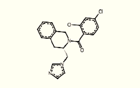 O=C(c1ccc(Cl)cc1Cl)N1Cc2ccccc2C[C@H]1Cn1ccnc1